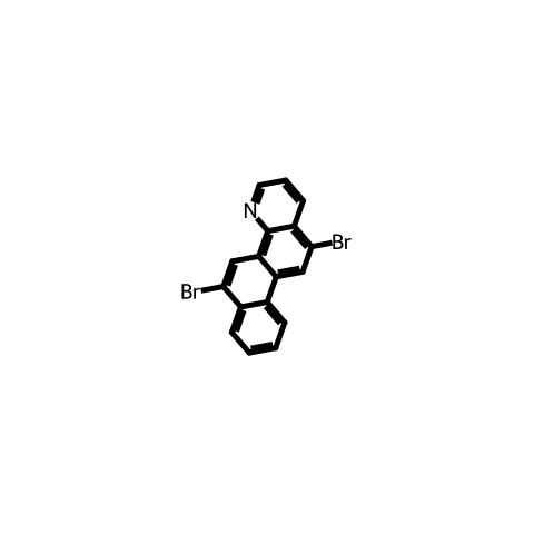 Brc1cc2c(cc(Br)c3cccnc32)c2ccccc12